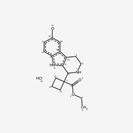 CCOC(=O)C1(C2NCCc3c2[nH]c2ccc(Cl)cc32)CCC1.Cl